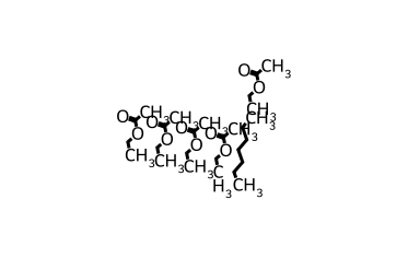 CCCCCCC.CCOC(C)=O.CCOC(C)=O.CCOC(C)=O.CCOC(C)=O.CCOC(C)=O